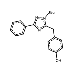 CC(C)(C)n1nc(-c2ccccc2)nc1Cc1ccc(O)cc1